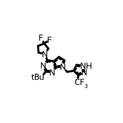 CC(C)(C)c1nc(N2CCC(F)(F)C2)c2ccn(Cc3c[nH]nc3C(F)(F)F)c2n1